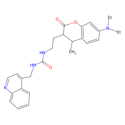 CCN(CC)c1ccc2c(c1)OC(=O)C(CCNC(=O)NCc1ccnc3ccccc13)C2C